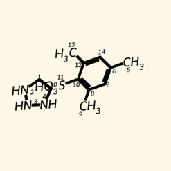 C1CNNN1.Cc1cc(C)c(S(=O)(=O)O)c(C)c1